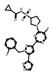 O=C(NS(=O)(=O)C1CCN(c2nc(-c3cc(-c4ccon4)n(Cc4ccccc4F)n3)ncc2F)C1)C1CC1